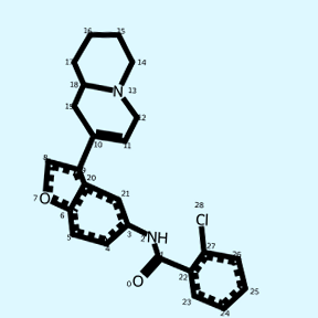 O=C(Nc1ccc2occ(C3=CCN4CCCCC4C3)c2c1)c1ccccc1Cl